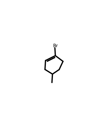 CC1CC=C(Br)CC1